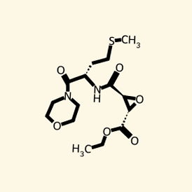 CCOC(=O)[C@H]1O[C@@H]1C(=O)N[C@@H](CCSC)C(=O)N1CCOCC1